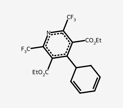 CCOC(=O)c1c(C(F)(F)F)nc(C(F)(F)F)c(C(=O)OCC)c1C1C=CC=CC1